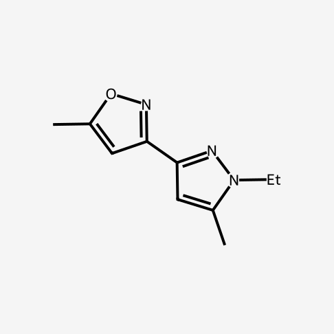 CCn1nc(-c2cc(C)on2)cc1C